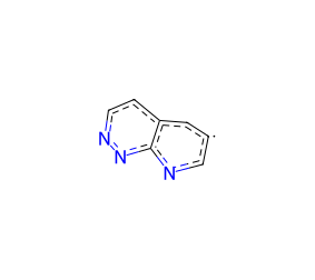 [c]1cnc2nnccc2c1